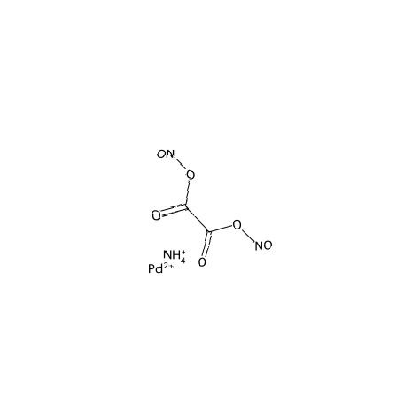 O=NOC(=O)C(=O)ON=O.[NH4+].[Pd+2]